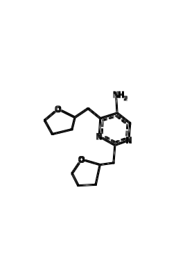 Nc1cnc(CC2CCCO2)nc1CC1CCCO1